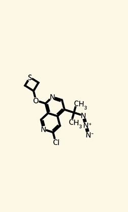 CC(C)(N=[N+]=[N-])c1cnc(OC2CSC2)c2cnc(Cl)cc12